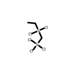 CC[Si](Cl)(Cl)C[Si](Cl)(Cl)Cl